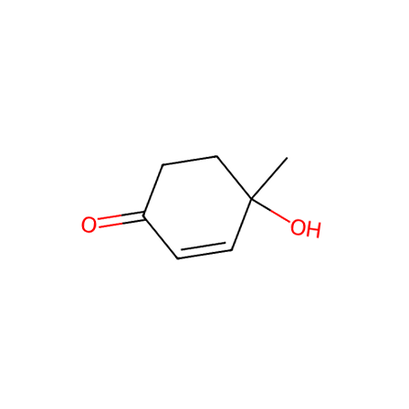 CC1(O)C=CC(=O)CC1